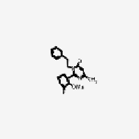 COc1c(F)cccc1-c1nc(C)cc(=O)n1CCc1ccccc1